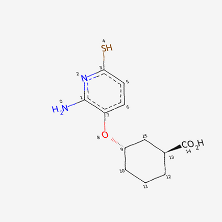 Nc1nc(S)ccc1O[C@H]1CCC[C@H](C(=O)O)C1